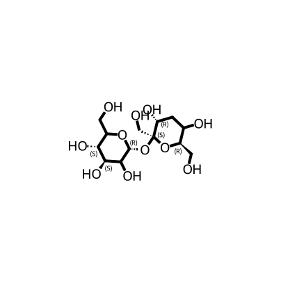 OCC1O[C@H](O[C@]2(CO)O[C@H](CO)C(O)C[C@H]2O)C(O)[C@@H](O)[C@@H]1O